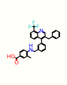 Cc1cc(C(=O)O)ccc1NCc1cccc(-c2c(Cc3ccccc3)cnc3c(C(F)(F)F)cccc23)c1